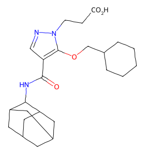 O=C(O)CCn1ncc(C(=O)NC2C3CC4CC(C3)CC2C4)c1OCC1CCCCC1